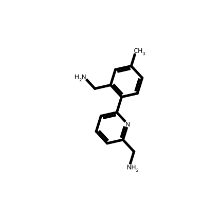 Cc1ccc(-c2cccc(CN)n2)c(CN)c1